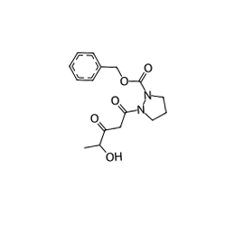 CC(O)C(=O)CC(=O)N1CCCN1C(=O)OCc1ccccc1